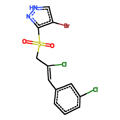 O=S(=O)(CC(Cl)=Cc1cccc(Cl)c1)c1n[nH]cc1Br